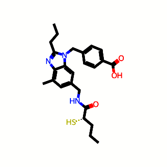 CCCc1nc2c(C)cc(CNC(=O)[C@@H](S)CCC)cc2n1Cc1ccc(C(=O)O)cc1